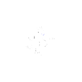 C=C(Nc1cc(C(=C)C)ccc1C)C1=CC=CC1